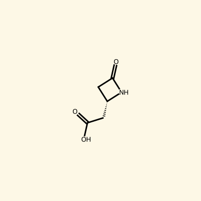 O=C(O)C[C@@H]1CC(=O)N1